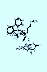 CCCCCC(C)(C=C[C@@H]1[C@H]2CC(=O)O[C@H]2C[C@H]1O)O[Si](c1ccccc1)(c1ccccc1)C(C)(C)C